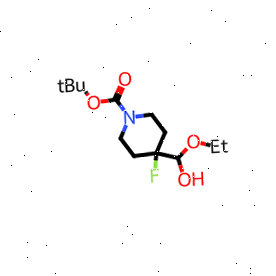 CCOC(O)C1(F)CCN(C(=O)OC(C)(C)C)CC1